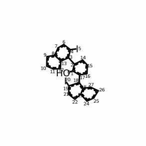 Oc1c(-c2c(I)ccc3ccccc23)cccc1-c1c(I)ccc2ccccc12